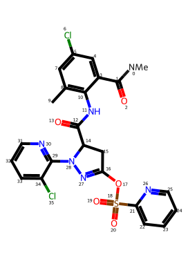 CNC(=O)c1cc(Cl)cc(C)c1NC(=O)C1CC(OS(=O)(=O)c2ccccn2)=NN1c1ncccc1Cl